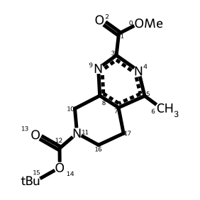 COC(=O)c1nc(C)c2c(n1)CN(C(=O)OC(C)(C)C)CC2